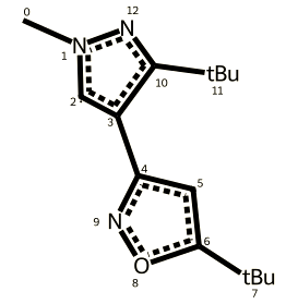 Cn1[c]c(-c2cc(C(C)(C)C)on2)c(C(C)(C)C)n1